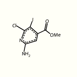 COC(=O)c1cc(N)nc(Cl)c1I